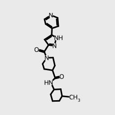 CC1CCCC(NC(=O)C2CCN(C(=O)c3cc(-c4ccncc4)[nH]n3)CC2)C1